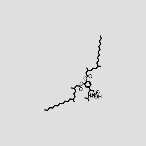 CCCCCCCCCCCC(C)CCCC(C)CC(=O)Oc1ccc(C(CNC(C)C)CS(=O)(=O)O)cc1OC(=O)CC(C)CCCC(C)CCCCCCCCCCC